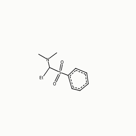 CCC(N(C)C)S(=O)(=O)c1ccccc1